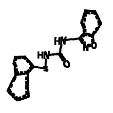 O=C(NSc1cccc2ccccc12)Nc1noc2ccccc12